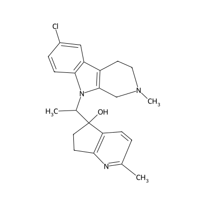 Cc1ccc2c(n1)CCC2(O)C(C)n1c2c(c3cc(Cl)ccc31)CCN(C)C2